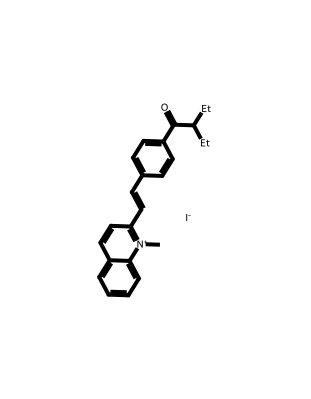 CCC(CC)C(=O)c1ccc(/C=C/c2ccc3ccccc3[n+]2C)cc1.[I-]